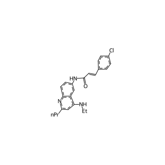 CCCc1cc(NCC)c2cc(NC(=O)C=Cc3ccc(Cl)cc3)ccc2n1